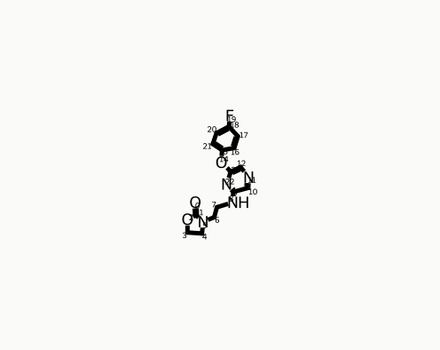 O=C1OCCN1CCNc1cncc(Oc2ccc(F)cc2)n1